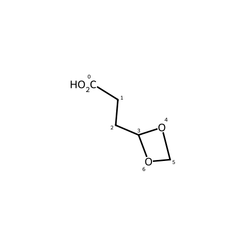 O=C(O)CCC1OCO1